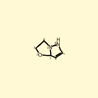 [C]1COC2C=CNN12